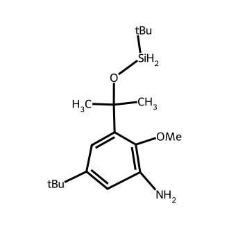 COc1c(N)cc(C(C)(C)C)cc1C(C)(C)O[SiH2]C(C)(C)C